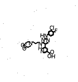 O=C(O)c1cncc(-c2cnc(Nc3ccc(F)c(Cl)c3)nc2NCCCN2CCS(=O)(=O)CC2)c1